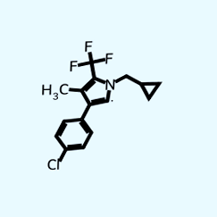 Cc1c(-c2ccc(Cl)cc2)[c]n(CC2CC2)c1C(F)(F)F